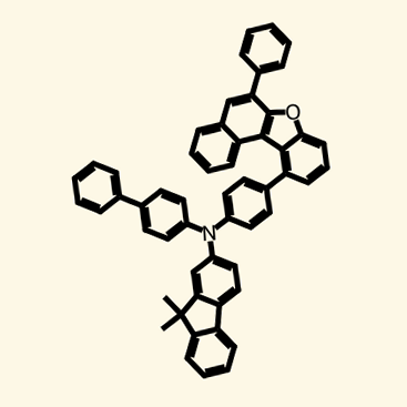 CC1(C)c2ccccc2-c2ccc(N(c3ccc(-c4ccccc4)cc3)c3ccc(-c4cccc5oc6c(-c7ccccc7)cc7ccccc7c6c45)cc3)cc21